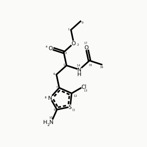 CCOC(=O)C(Cc1nc(N)sc1Cl)NC(C)=O